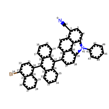 N#Cc1ccc2c3c1ccc1c(-c4c5ccccc5c(-c5ccc(Br)c6ccccc56)c5ccccc45)ccc(c13)n2-c1ccccc1